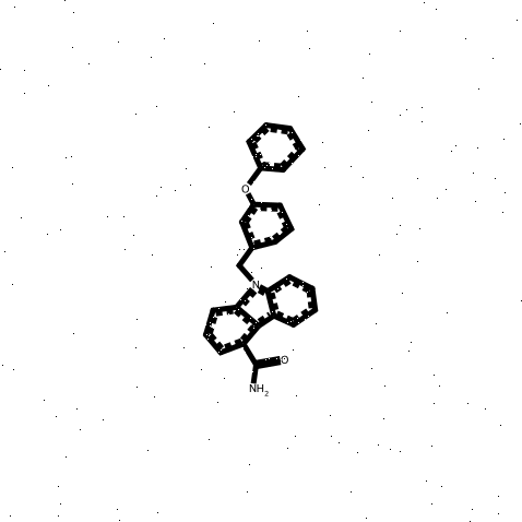 NC(=O)c1cccc2c1c1[c]cccc1n2Cc1cccc(Oc2ccccc2)c1